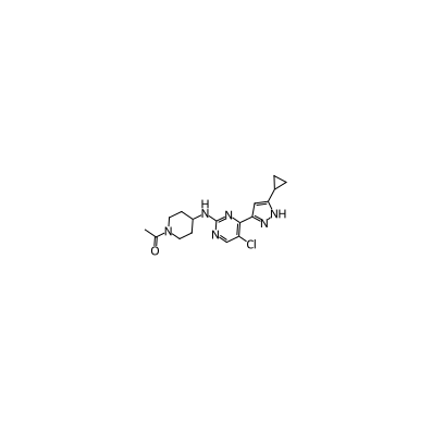 CC(=O)N1CCC(Nc2ncc(Cl)c(-c3cc(C4CC4)[nH]n3)n2)CC1